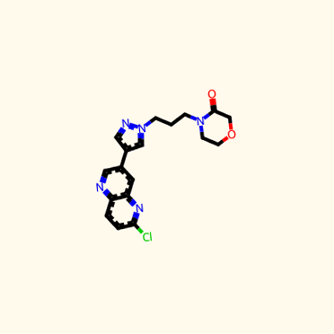 O=C1COCCN1CCCn1cc(-c2cnc3ccc(Cl)nc3c2)cn1